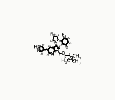 C[Si](C)(C)CCOCn1nc(N2C[C@@H](F)C[C@@H]2c2cc(F)ccc2F)c2cc(-c3cn[nH]c3)cnc21